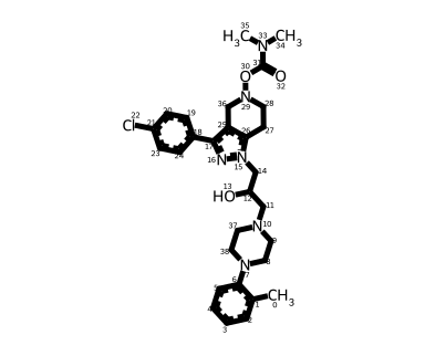 Cc1ccccc1N1CCN(CC(O)Cn2nc(-c3ccc(Cl)cc3)c3c2CCN(OC(=O)N(C)C)C3)CC1